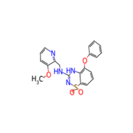 COc1cccnc1CNC1=NS(=O)(=O)c2cccc(Oc3ccccc3)c2N1